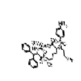 CC[C@@H](CCC[C@@H](C(=O)OC)N(CCC(C)C)S(=O)(=O)c1ccc(N)cc1)NC(=O)[C@@H](NC(=O)OC)C(c1ccccc1)c1ccccc1